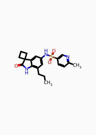 CCCc1cc(NS(=O)(=O)c2ccc(C)nc2)cc2c1NC(=O)C21CCC1